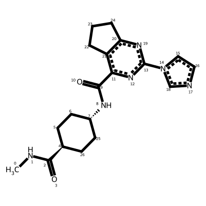 CNC(=O)[C@H]1CC[C@H](NC(=O)c2nc(-n3ccnc3)nc3c2CCC3)CC1